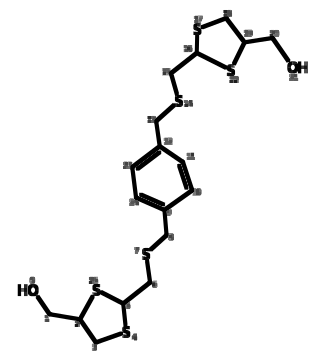 OCC1CSC(CSCc2ccc(CSCC3SCC(CO)S3)cc2)S1